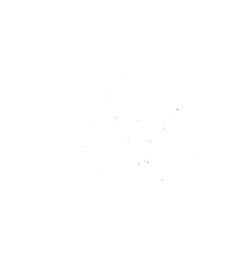 O=Cc1ccc(C2(c3ccccc3O)N=CC=CC=N2)cc1Cl